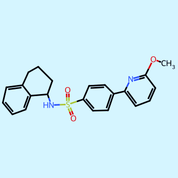 COc1cccc(-c2ccc(S(=O)(=O)NC3CCCc4ccccc43)cc2)n1